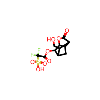 O=C1OC2C3CC(C(CO)C13)C2OC(=O)C(F)(F)S(=O)(=O)O